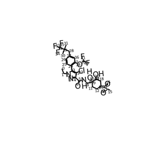 CCn1nc(C(=O)NC[C@]2(O)CC[C@@H](S(C)(=O)=O)C[C@@H]2O)c(Cl)c1-c1ccc(CC(C)(C)C(F)(F)F)cc1OC(F)F